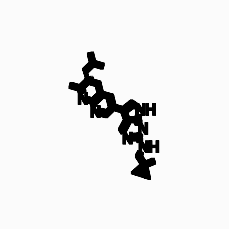 CC1=Nc2ncc(-c3c[nH]c4nc(NCC5(C)CC5)ncc34)cc2C[C@@H]1CC(C)C